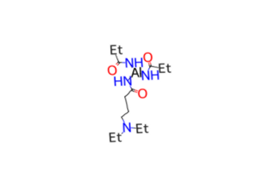 CCC(=O)[NH][Al]([NH]C(=O)CC)[NH]C(=O)CCCN(CC)CC